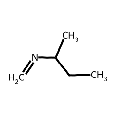 C=NC(C)CC